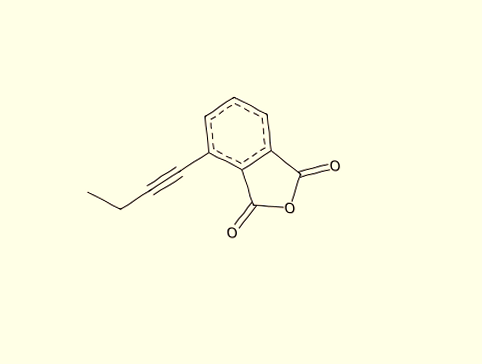 CCC#Cc1cccc2c1C(=O)OC2=O